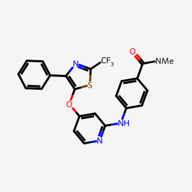 CNC(=O)c1ccc(Nc2cc(Oc3sc(C(F)(F)F)nc3-c3ccccc3)ccn2)cc1